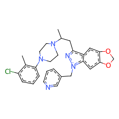 Cc1c(Cl)cccc1N1CCN(C(C)Cc2nn(Cc3cccnc3)c3cc4c(cc23)OCO4)CC1